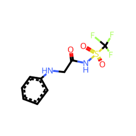 O=C(CNc1ccccc1)NS(=O)(=O)C(F)(F)F